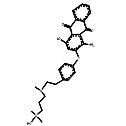 CN(CCC[Si](C)(C)O)CCc1ccc(Oc2cc(O)c3c(c2N)C(=O)c2ccccc2C3=O)cc1